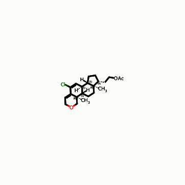 CC(=O)OCC[C@H]1CC[C@H]2[C@@H]3C=C(Cl)C4=CCOC[C@]4(C)[C@H]3CC[C@]12C